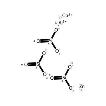 O=[Si]([O-])[O-].O=[Si]([O-])[O-].O=[Si]([O-])[O-].[Al+3].[Ga+3].[Zn]